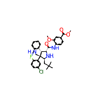 COC(=O)c1ccc(NC(=O)[C@@H]2N[C@@H](CC(C)(C)C)[C@](CN)(c3cc(Cl)ccc3F)[C@@H]2c2ccccc2C)c(OC)c1